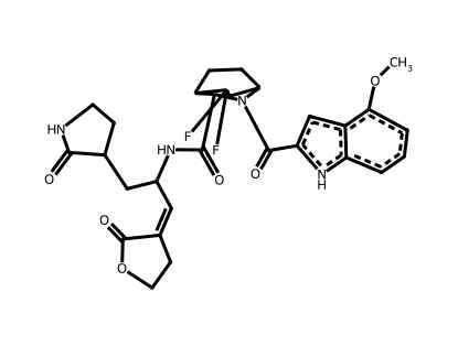 COc1cccc2[nH]c(C(=O)N3C4CCC(C3C(=O)NC(C=C3CCOC3=O)CC3CCNC3=O)C(F)(F)C4)cc12